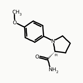 COc1ccc(N2CCC[C@@H]2C(N)=O)cc1